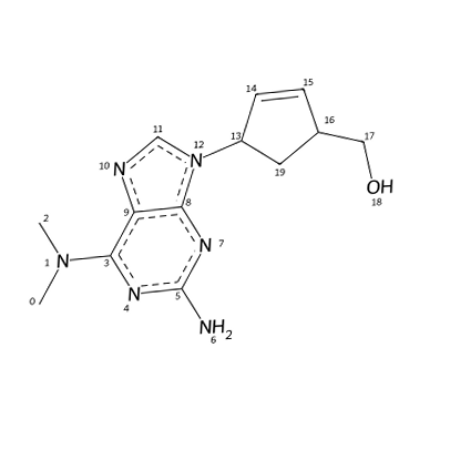 CN(C)c1nc(N)nc2c1ncn2C1C=CC(CO)C1